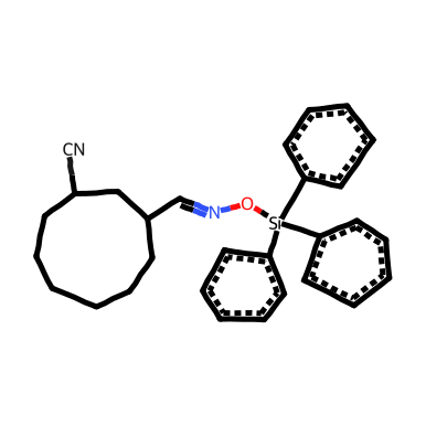 N#CC1CCCCCCC(C=NO[Si](c2ccccc2)(c2ccccc2)c2ccccc2)C1